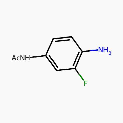 CC(=O)Nc1ccc(N)c(F)c1